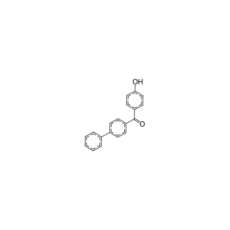 O=C(c1ccc(O)cc1)c1ccc(-c2ccccc2)cc1